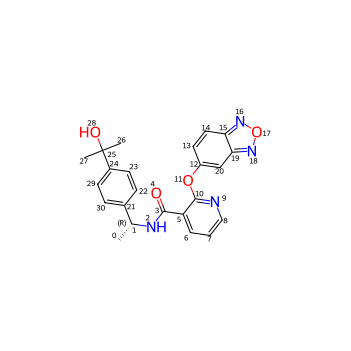 C[C@@H](NC(=O)c1cccnc1Oc1ccc2nonc2c1)c1ccc(C(C)(C)O)cc1